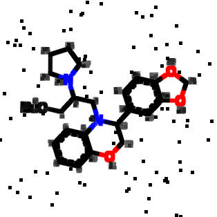 CC(C)COCC(CN1c2ccccc2OCC1c1ccc2c(c1)OCO2)N1CCCC1